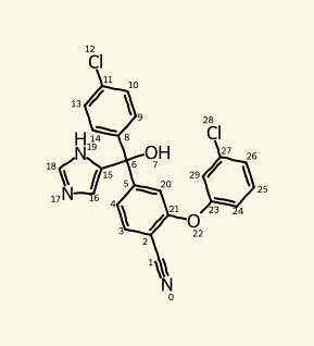 N#Cc1ccc(C(O)(c2ccc(Cl)cc2)c2cnc[nH]2)cc1Oc1cccc(Cl)c1